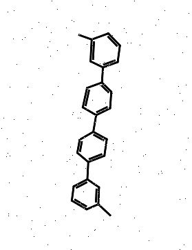 Cc1cccc(-c2ccc(-c3ccc(-c4cccc(C)c4)cc3)cc2)c1